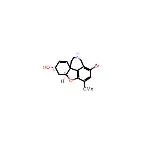 COc1cc(Br)c2c3c1O[C@H]1C[C@H](O)C=CC31CCNC2